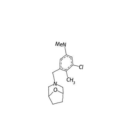 CNc1cc(Cl)c(C)c(CN2CC3CCC(C2)O3)c1